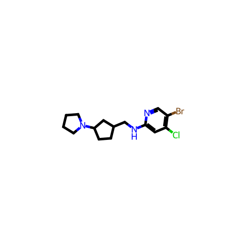 Clc1cc(NCC2CCC(N3CCCC3)C2)ncc1Br